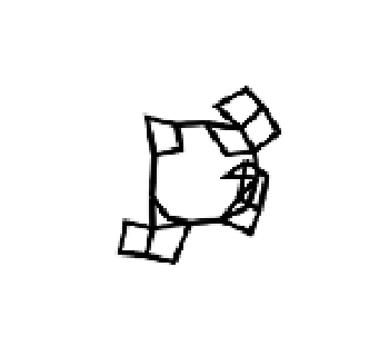 C1C2CC1C1CC3(CC4CCC413)C13CC4CC5CC(C1)(C16CC7CCC71C2C6)C543